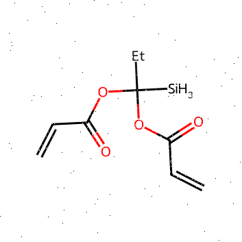 C=CC(=O)OC([SiH3])(CC)OC(=O)C=C